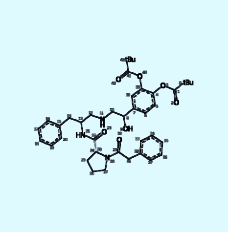 CC(C)(C)C(=O)Oc1ccc(C(O)CNCC(Cc2ccccc2)NC(=O)[C@H]2CCCN2C(=O)Cc2ccccc2)cc1OC(=O)C(C)(C)C